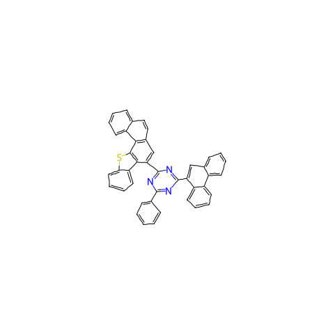 c1ccc(-c2nc(-c3cc4ccccc4c4ccccc34)nc(-c3cc4ccc5ccccc5c4c4sc5ccccc5c34)n2)cc1